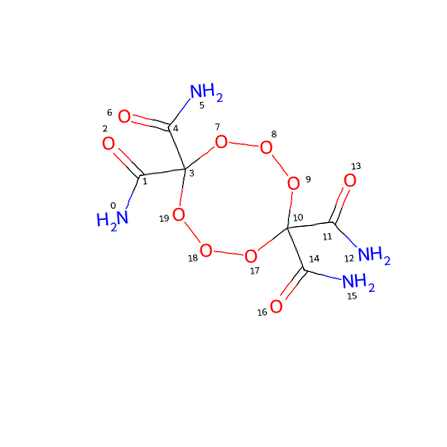 NC(=O)C1(C(N)=O)OOOC(C(N)=O)(C(N)=O)OOO1